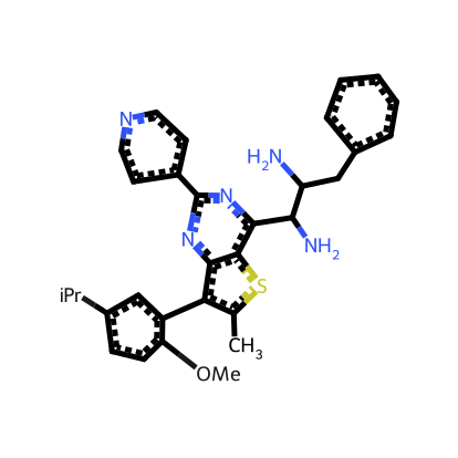 COc1ccc(C(C)C)cc1-c1c(C)sc2c(C(N)C(N)Cc3ccccc3)nc(-c3ccncc3)nc12